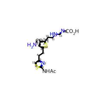 CC(=O)Nc1nc(CCc2ccc(CCNC=NC(=O)O)s2)cs1.NC(=O)O